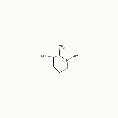 CC(C)N1CCCC(N)C1C